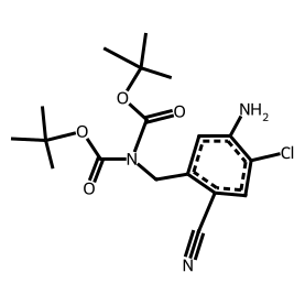 CC(C)(C)OC(=O)N(Cc1cc(N)c(Cl)cc1C#N)C(=O)OC(C)(C)C